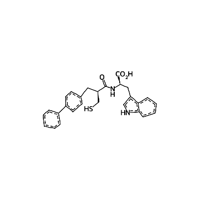 O=C(N[C@H](Cc1c[nH]c2ccccc12)C(=O)O)[C@@H](CS)Cc1ccc(-c2ccccc2)cc1